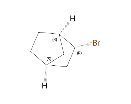 Br[C@@H]1C[C@H]2CC[C@@H]1C2